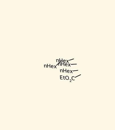 CCCCCCC.CCCCCCC.CCCCCCC.CCCCCCC.CCOC(C)=O